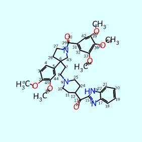 COc1ccc(C2(CCN3CCC(C(=O)c4nc5ccccc5[nH]4)CC3)CCN(C(=O)c3cc(OC)c(OC)c(OC)c3)C2)cc1OC